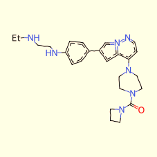 CCNCCNc1ccc(-c2cc3c(N4CCN(C(=O)N5CCC5)CC4)ccnn3c2)cc1